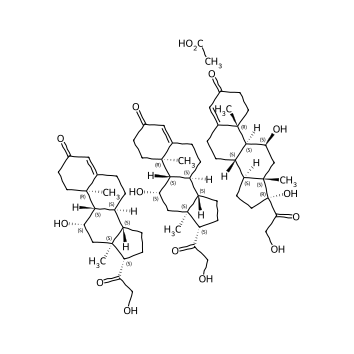 CC(=O)O.C[C@]12CCC(=O)C=C1CC[C@@H]1[C@@H]2[C@@H](O)C[C@@]2(C)[C@H]1CC[C@]2(O)C(=O)CO.C[C@]12C[C@H](O)[C@H]3[C@@H](CCC4=CC(=O)CC[C@@]43C)[C@@H]1CC[C@@H]2C(=O)CO.C[C@]12C[C@H](O)[C@H]3[C@@H](CCC4=CC(=O)CC[C@@]43C)[C@@H]1CC[C@@H]2C(=O)CO